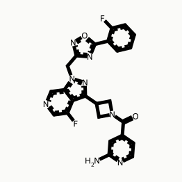 Nc1cc(C(=O)N2CC(c3nn(Cc4noc(-c5ccccc5F)n4)c4cncc(F)c34)C2)ccn1